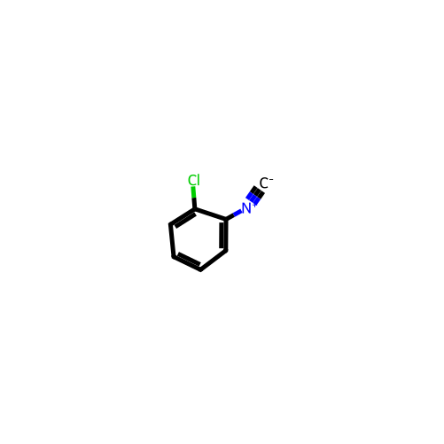 [C-]#[N+]c1ccccc1Cl